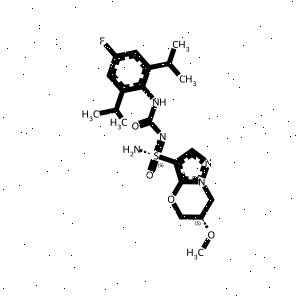 CO[C@@H]1COc2c([S@@](N)(=O)=NC(=O)Nc3c(C(C)C)cc(F)cc3C(C)C)cnn2C1